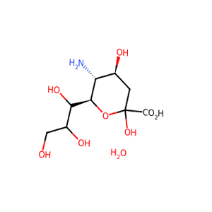 N[C@@H]1[C@@H](O)CC(O)(C(=O)O)O[C@H]1C(O)C(O)CO.O